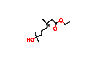 CCOC(=O)C[C@H](C)CCCC(C)(C)O